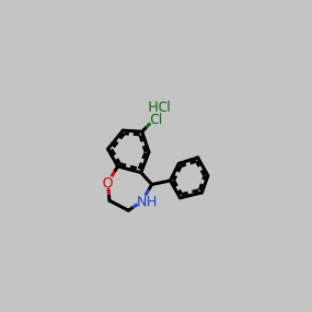 Cl.Clc1ccc2c(c1)C(c1ccccc1)NCCO2